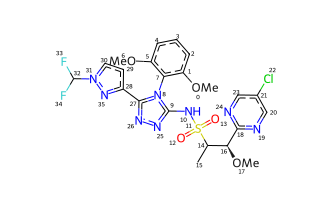 COc1cccc(OC)c1-n1c(NS(=O)(=O)C(C)[C@H](OC)c2ncc(Cl)cn2)nnc1-c1ccn(C(F)F)n1